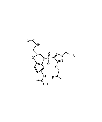 CCn1cc(S(=O)(=O)N2CC(CNC(C)=O)Oc3ccc(NC(=O)O)cc32)c(OCC(F)F)n1